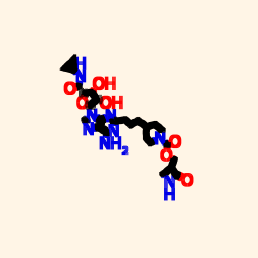 Nc1nc(CCCC2CCN(C(=O)OCC3CNC3=O)CC2)nc2c1ncn2[C@@H]1O[C@H](C(=O)NC2CC2)C(O)[C@@H]1O